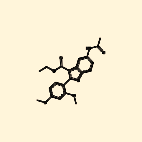 CCOC(=O)c1c(-c2ccc(OC)cc2OC)oc2ccc(NC(C)=O)cc12